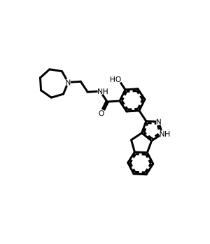 O=C(NCCN1CCCCCC1)c1cc(-c2n[nH]c3c2Cc2ccccc2-3)ccc1O